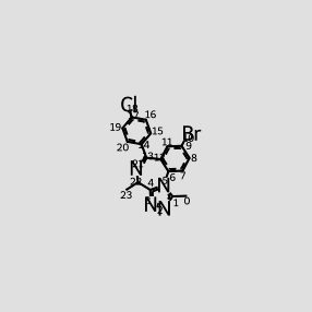 Cc1nnc2n1-c1ccc(Br)cc1C(c1ccc(Cl)cc1)=NC2C